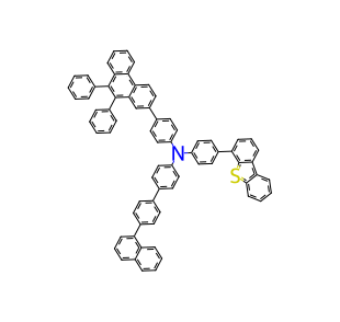 c1ccc(-c2c(-c3ccccc3)c3cc(-c4ccc(N(c5ccc(-c6ccc(-c7cccc8ccccc78)cc6)cc5)c5ccc(-c6cccc7c6sc6ccccc67)cc5)cc4)ccc3c3ccccc23)cc1